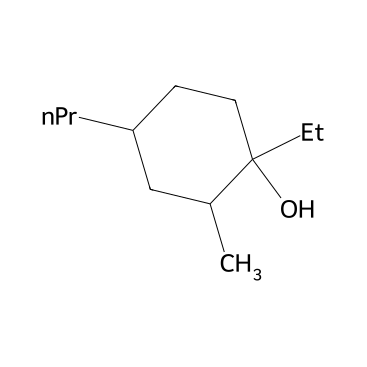 CCCC1CCC(O)(CC)C(C)C1